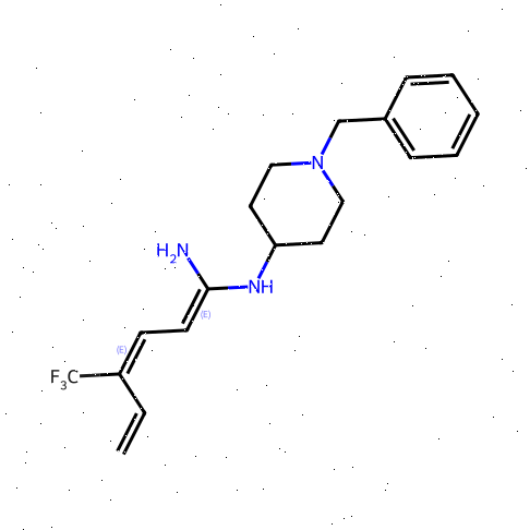 C=C/C(=C\C=C(/N)NC1CCN(Cc2ccccc2)CC1)C(F)(F)F